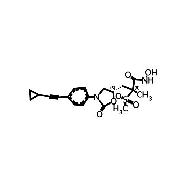 C[C@@](C[C@H]1CN(c2ccc(C#CC3CC3)cc2)C(=O)O1)(C(=O)NO)S(C)(=O)=O